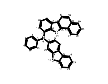 c1ccc(N(c2ccc3c(c2)sc2ccccc23)c2cccc3c2oc2c4ccccc4ccc32)cc1